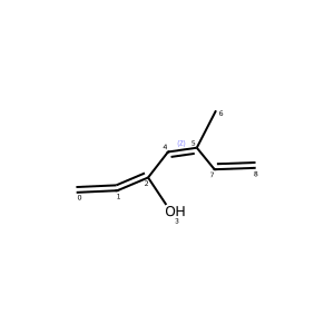 C=C=C(O)/C=C(/C)C=C